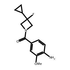 COc1cc(C(=O)N2CC(F)(C3CC3)C2)ccc1N